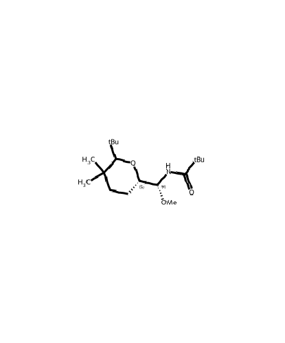 CO[C@@H](NC(=O)C(C)(C)C)[C@@H]1CCC(C)(C)C(C(C)(C)C)O1